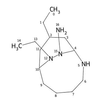 CCC1CC2NCCCCC(C1)N(CC)N2N